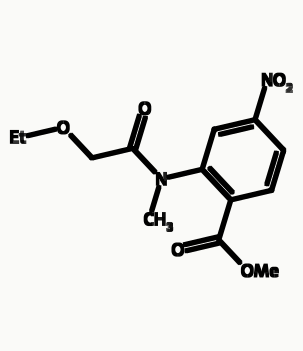 CCOCC(=O)N(C)c1cc([N+](=O)[O-])ccc1C(=O)OC